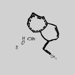 C=CC1C=Cc2ccccc21.Cl.Cl.[Ti]